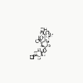 COC(=O)C(O)(CBr)c1ccc(Oc2ccc(Cl)cc2)cc1Cl